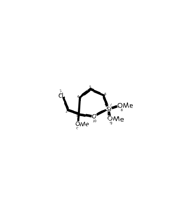 COC1(CCl)CCC[Si](OC)(OC)O1